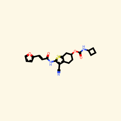 N#Cc1c(NC(=O)C=Cc2ccco2)sc2c1CCC(OC(=O)NC1CCC1)C2